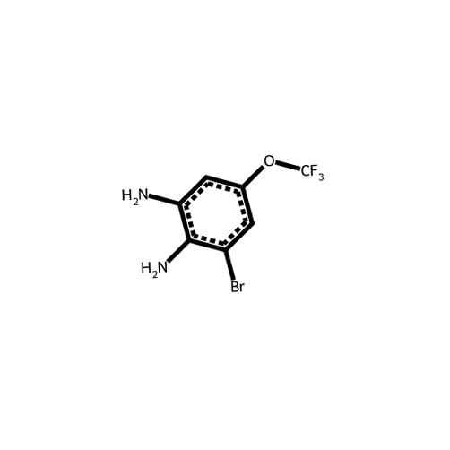 Nc1cc(OC(F)(F)F)cc(Br)c1N